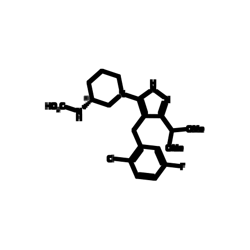 COC(OC)c1n[nH]c(N2CCC[C@@H](NC(=O)O)C2)c1Cc1cc(F)ccc1Cl